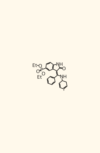 CCOP(=O)(OCC)c1ccc2c(c1)/C(=C(/NC1C=CI=CC1)c1ccccc1)C(=O)N2